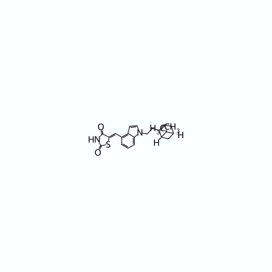 CC1(C)[C@H]2CC=C(CCn3ccc4c(C=C5SC(=O)NC5=O)cccc43)[C@H]1C2